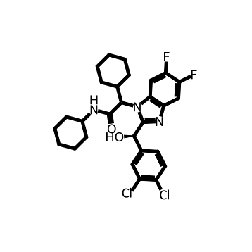 O=C(NC1CCCCC1)C(C1CCCCC1)n1c([C@H](O)c2ccc(Cl)c(Cl)c2)nc2cc(F)c(F)cc21